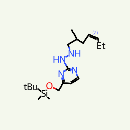 CC/C=C\CC(C)CNNc1nccc(CO[Si](C)(C)C(C)(C)C)n1